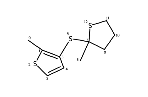 Cc1sccc1SC1(C)CCCS1